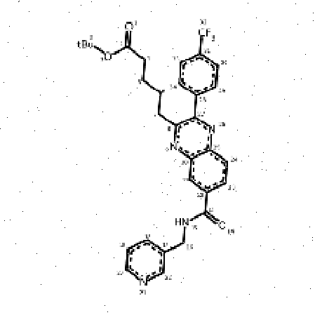 CC(C)(C)OC(=O)CCCCc1nc2cc(C(=O)NCc3cccnc3)ccc2nc1-c1ccc(C(F)(F)F)cc1